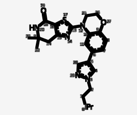 CC(C)CCn1cc(-c2ccc3c(c2)N(c2nc4c(s2)C(=O)NC(C)(C)C4)CCO3)cn1